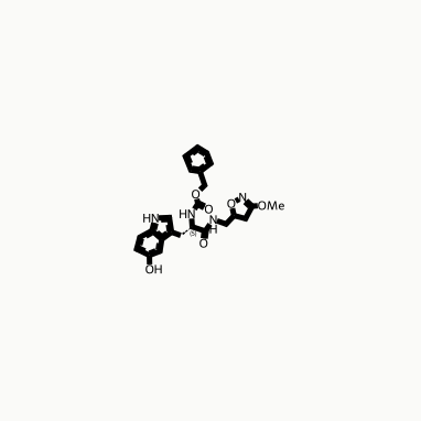 COC1=NOC(CNC(=O)[C@H](Cc2c[nH]c3ccc(O)cc23)NC(=O)OCc2ccccc2)C1